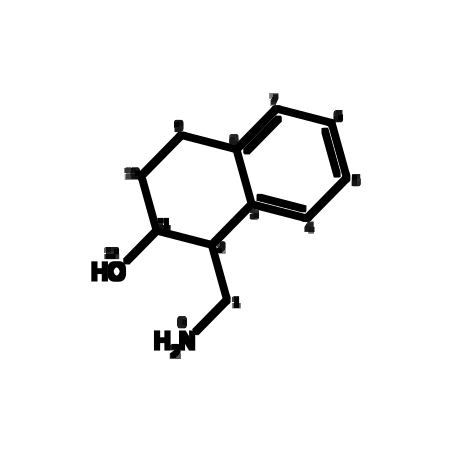 NCC1c2ccccc2CCC1O